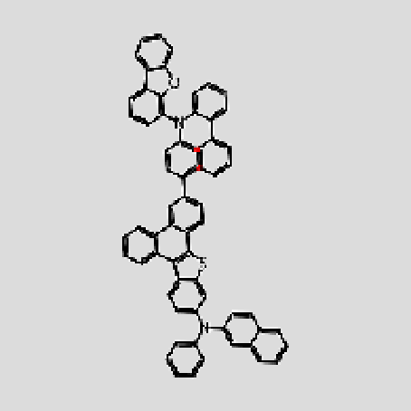 c1ccc(-c2ccccc2N(c2ccc(-c3ccc4c(c3)c3ccccc3c3c5ccc(N(c6ccccc6)c6ccc7ccccc7c6)cc5sc43)cc2)c2cccc3c2oc2ccccc23)cc1